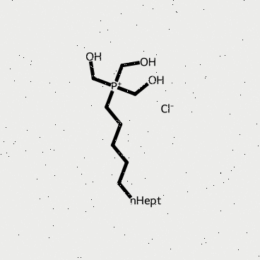 CCCCCCCCCCCC[P+](CO)(CO)CO.[Cl-]